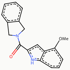 COc1cccc2[nH]c(C(=O)N3Cc4ccccc4C3)cc12